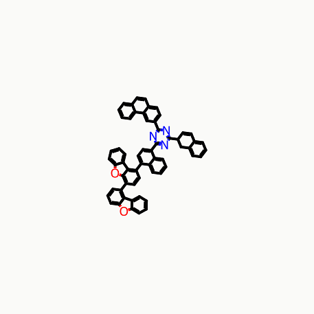 C1=CC(c2nc(-c3ccc4ccc5ccccc5c4c3)nc(-c3ccc(-c4ccc(-c5cccc6oc7ccccc7c56)c5oc6ccccc6c45)c4ccccc34)n2)Cc2ccccc21